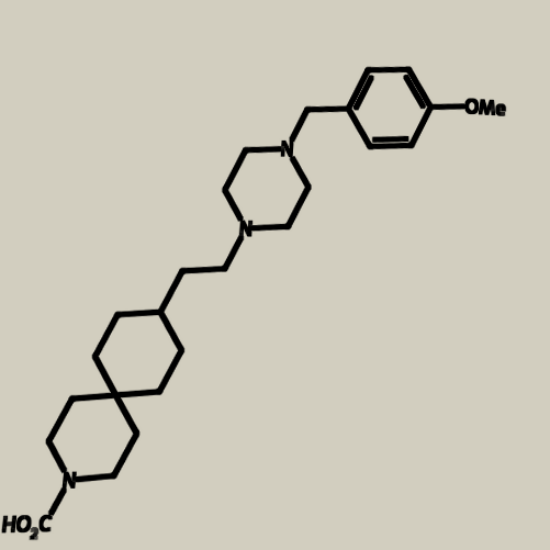 COc1ccc(CN2CCN(CCC3CCC4(CC3)CCN(C(=O)O)CC4)CC2)cc1